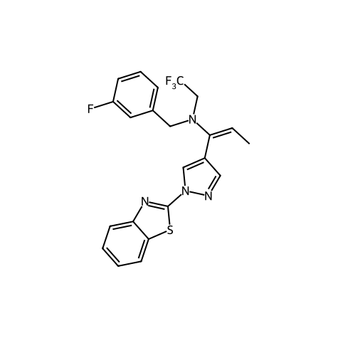 C/C=C(\c1cnn(-c2nc3ccccc3s2)c1)N(Cc1cccc(F)c1)CC(F)(F)F